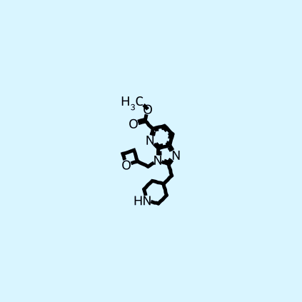 COC(=O)c1ccc2nc(CC3CCNCC3)n(CC3CCO3)c2n1